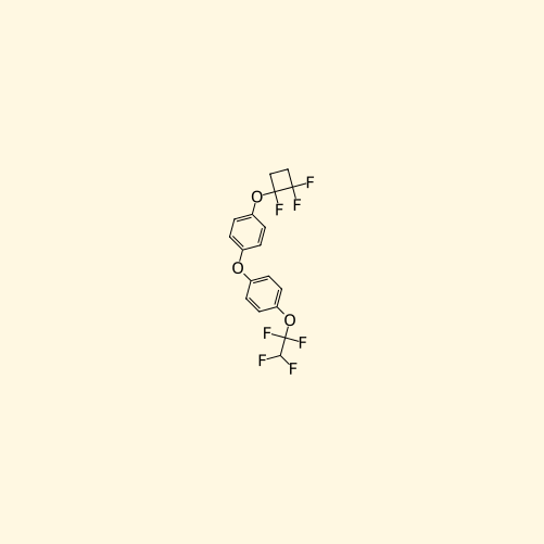 FC(F)C(F)(F)Oc1ccc(Oc2ccc(OC3(F)CCC3(F)F)cc2)cc1